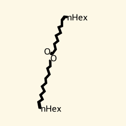 CCCCCC/C=C\CCCCCCCCCCOC(=O)CCCCCCC/C=C\CCCCCC